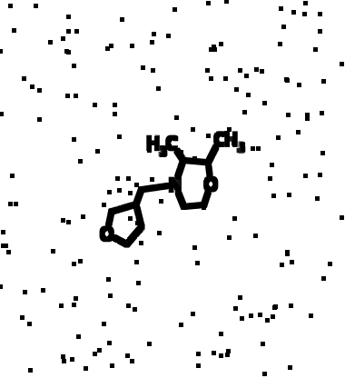 CC1OCCN(CC2CCOC2)C1C